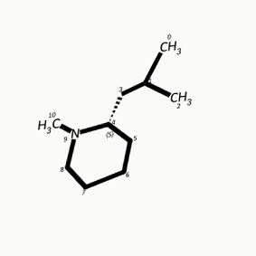 CC(C)C[C@@H]1CCCCN1C